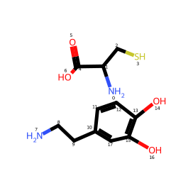 NC(CS)C(=O)O.NCCc1ccc(O)c(O)c1